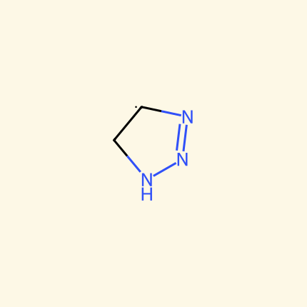 [CH]1CNN=N1